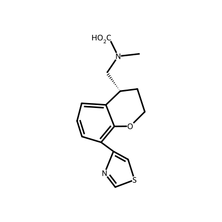 CN(C[C@@H]1CCOc2c(-c3cscn3)cccc21)C(=O)O